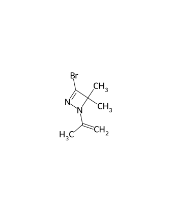 C=C(C)N1N=C(Br)C1(C)C